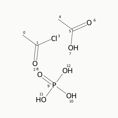 CC(=O)Cl.CC(=O)O.O=P(O)(O)O